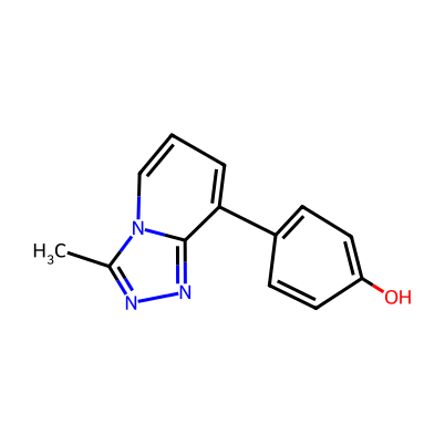 Cc1nnc2c(-c3ccc(O)cc3)cccn12